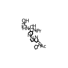 CC(=O)N(Cc1cnc2c(ccn2-c2cc(NC(C)C)c(C(=O)NC[C@@H](F)C(C)(C)O)cn2)c1)C1CCCC1